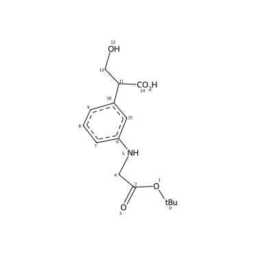 CC(C)(C)OC(=O)CNc1cccc(C(CO)C(=O)O)c1